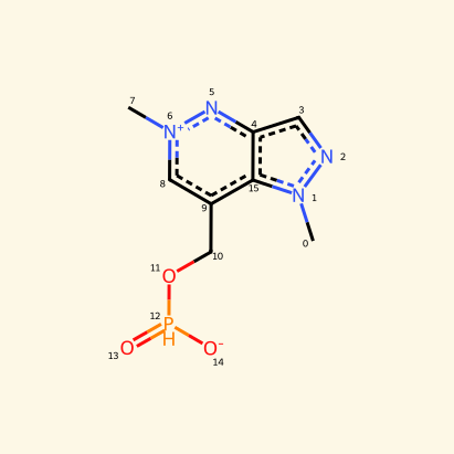 Cn1ncc2n[n+](C)cc(CO[PH](=O)[O-])c21